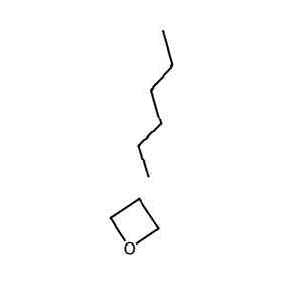 C1COC1.CCCCCC